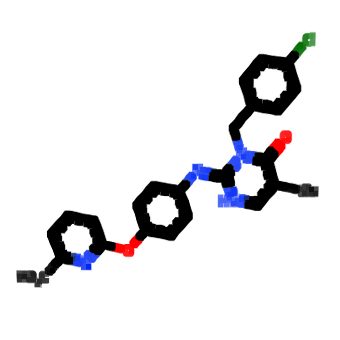 CC(C)(C)c1c[nH]/c(=N\c2ccc(Oc3cccc(C(=O)O)n3)cc2)n(Cc2ccc(Cl)cc2)c1=O